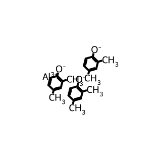 Cc1ccc([O-])c(C)c1.Cc1ccc([O-])c(C)c1.Cc1ccc([O-])c(C)c1.[Al+3]